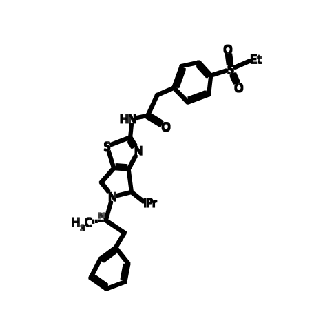 CCS(=O)(=O)c1ccc(CC(=O)Nc2nc3c(s2)CN([C@@H](C)Cc2ccccc2)C3C(C)C)cc1